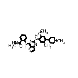 CNC(=O)c1ccccc1Nc1nc(Nc2cc(C)c(C3CCN(C)CC3)cc2OC)nc2ccsc12